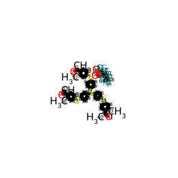 CC(=O)c1ccc(Sc2ccc([S+](c3ccc(Sc4ccc(C(C)=O)c(C)c4)cc3)c3ccc(Sc4ccc(C(C)=O)c(C)c4)cc3)cc2)cc1C.O=S(=O)([O-])C(F)(F)C(F)(F)C(F)(F)C(F)(F)F